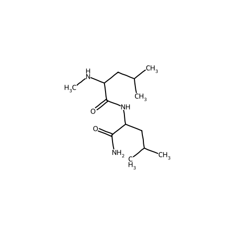 CNC(CC(C)C)C(=O)NC(CC(C)C)C(N)=O